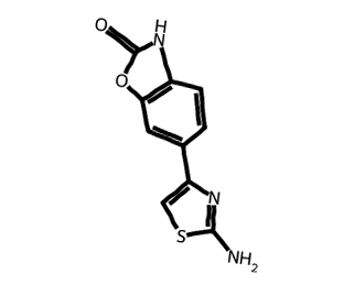 Nc1nc(-c2ccc3[nH]c(=O)oc3c2)cs1